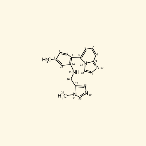 Cc1ccc(-c2cccc3nccn23)c(NCc2cncn2C)c1